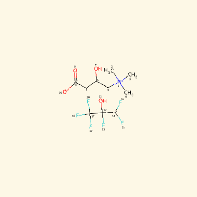 C[N+](C)(C)CC(O)CC(=O)[O-].OC(F)(C(F)F)C(F)(F)F